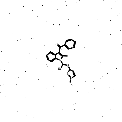 CCC(SC1N=CN(C)S1)n1c(C)c(C(=O)c2ccccc2)c2ccccc21